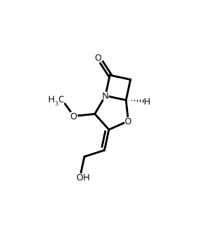 COC1/C(=C\CO)O[C@@H]2CC(=O)N12